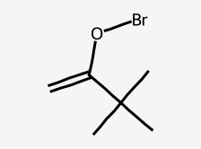 C=C(OBr)C(C)(C)C